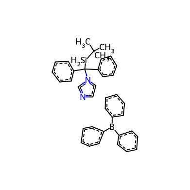 CC(C)(C)[SiH2]C(c1ccccc1)(c1ccccc1)n1ccnc1.c1ccc(B(c2ccccc2)c2ccccc2)cc1